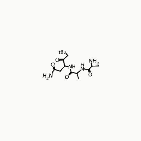 C[C@H](N)C(=O)N[C@@H](C)C(=O)N[C@@H](CC(N)=O)C(=O)CC(C)(C)C